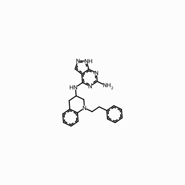 Nc1nc(NC2Cc3ccccc3N(CCc3ccccc3)C2)c2cn[nH]c2n1